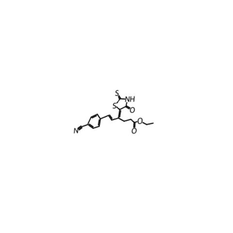 CCOC(=O)CCC(C=Cc1ccc(C#N)cc1)=C1SC(=S)NC1=O